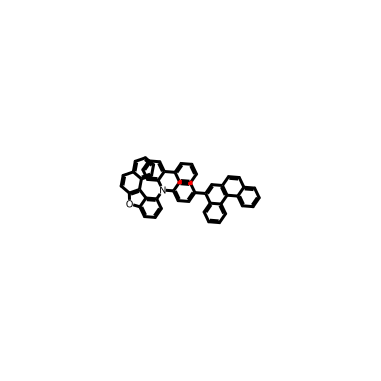 c1ccc(-c2ccccc2N(c2ccc(-c3cc4ccc5ccccc5c4c4ccccc34)cc2)c2cccc3oc4ccc5ccccc5c4c23)cc1